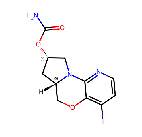 NC(=O)O[C@H]1C[C@H]2COc3c(I)ccnc3N2C1